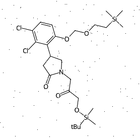 CC(C)(C)[Si](C)(C)OCC(=O)CN1CC(c2c(OCOCC[Si](C)(C)C)ccc(Cl)c2Cl)CC1=O